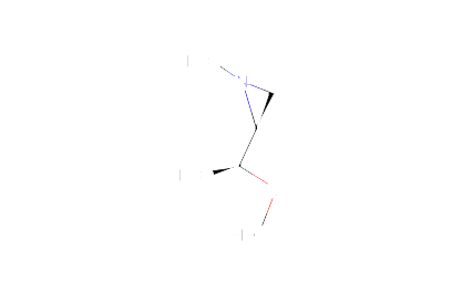 CO[C@@H](C)[C@@H]1CN1C